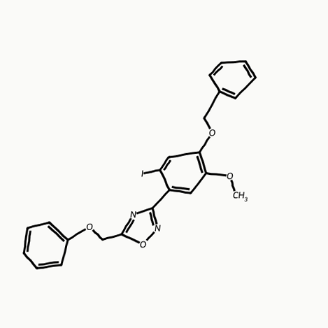 COc1cc(-c2noc(COc3ccccc3)n2)c(I)cc1OCc1ccccc1